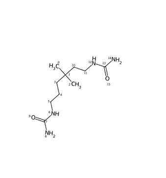 CC(C)(CCCNC(N)=O)CCNC(N)=O